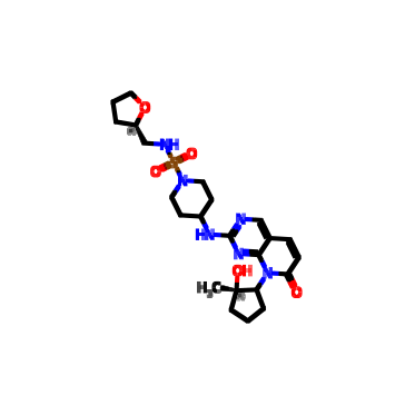 C[C@]1(O)CCCC1n1c(=O)ccc2cnc(NC3CCN(S(=O)(=O)NC[C@H]4CCCO4)CC3)nc21